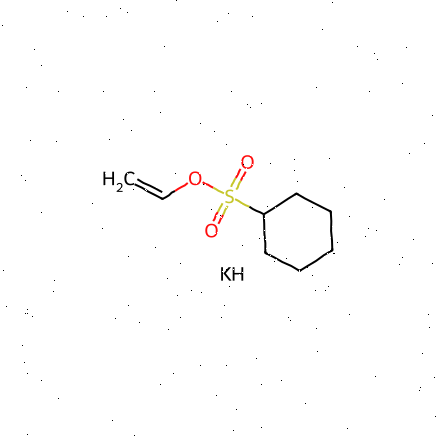 C=COS(=O)(=O)C1CCCCC1.[KH]